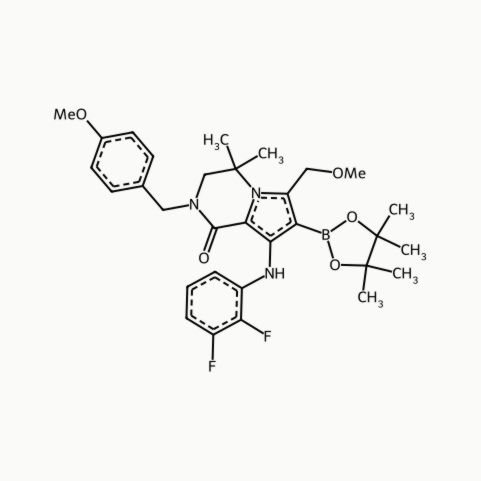 COCc1c(B2OC(C)(C)C(C)(C)O2)c(Nc2cccc(F)c2F)c2n1C(C)(C)CN(Cc1ccc(OC)cc1)C2=O